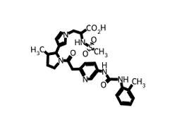 Cc1ccccc1NC(=O)Nc1ccc(CC(=O)N2CCC(C)C2c2ccn(CC(NS(C)(=O)=O)C(=O)O)c2)nc1